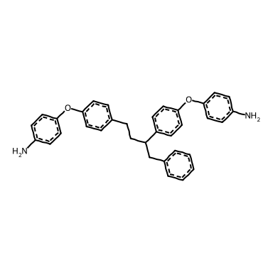 Nc1ccc(Oc2ccc(CCC(Cc3ccccc3)c3ccc(Oc4ccc(N)cc4)cc3)cc2)cc1